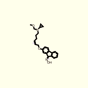 COCN(CCC/C=C\COc1ccc2c(c1)/C(=N/O)c1ccccc1-2)C1CC1